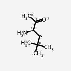 CC(=O)[C@H](N)CC(C)(C)C